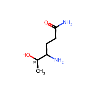 C[C@@H](O)C(N)CCC(N)=O